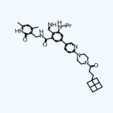 Cc1cc(C)c(CNC(=O)c2cc(-c3ccc(N4CCN(C(=O)CCC56CC7CC8CC(C5)C876)CC4)nc3)cc(NC(C)C)c2C=N)c(=O)[nH]1